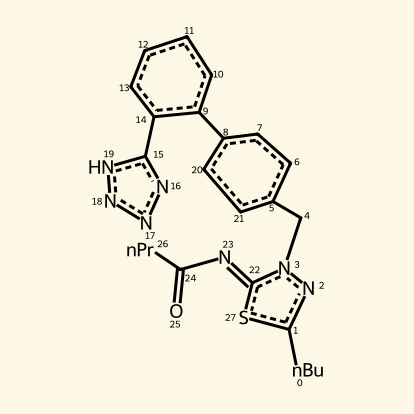 CCCCc1nn(Cc2ccc(-c3ccccc3-c3nnn[nH]3)cc2)c(=NC(=O)CCC)s1